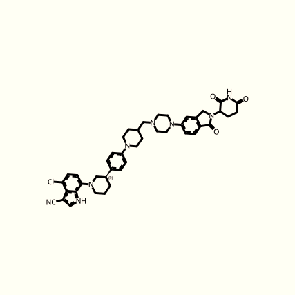 N#Cc1c[nH]c2c(N3CCC[C@H](c4ccc(N5CCC(CN6CCN(c7ccc8c(c7)CN(C7CCC(=O)NC7=O)C8=O)CC6)CC5)cc4)C3)ccc(Cl)c12